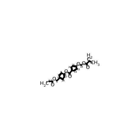 C=CC(=O)OCc1ccc(OC(=O)c2ccc(OCOC(=O)C(=C)C)cc2)cc1